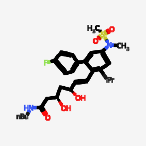 CCCCNC(=O)C[C@H](O)C[C@H](O)/C=C/c1c(-c2ccc(F)cc2)cc(N(C)S(C)(=O)=O)cc1C(C)C